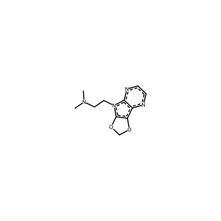 CN(C)CCn1c2c(c3nccnc31)OCO2